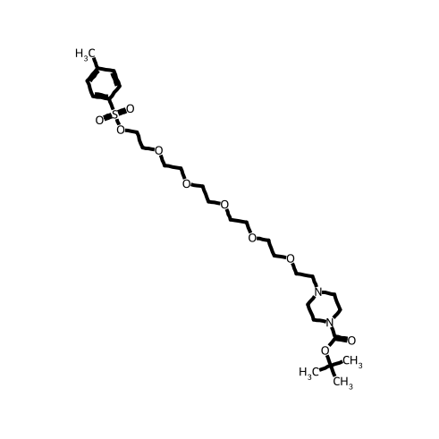 Cc1ccc(S(=O)(=O)OCCOCCOCCOCCOCCOCCN2CCN(C(=O)OC(C)(C)C)CC2)cc1